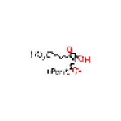 CCCCCC(O)CC[C@H]1[C@H](O)CC(=O)[C@H]1CCCCCCC(=O)O